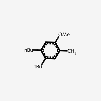 CCCCc1cc(OC)c(C)cc1C(C)(C)C